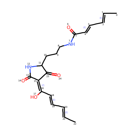 C/C=C/C=C/C(=O)NCCCC1NC(=O)/C(=C(O)/C=C/C=C/C)C1=O